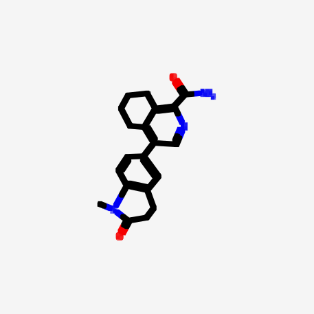 CN1C(=O)CCc2cc(-c3cnc(C(N)=O)c4c3CCC[CH]4)ccc21